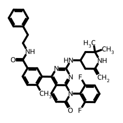 C=C1CC(Nc2nc(-c3cc(C(=O)NCCc4ccccc4)ccc3C)c3ccc(=O)n(-c4c(F)cccc4F)c3n2)CC(C)(C)N1